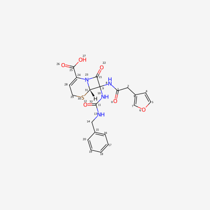 O=C(Cc1ccoc1)NC1(NC(=O)NCc2ccccc2)C(=O)N2C(C(=O)O)=CCS[C@H]21